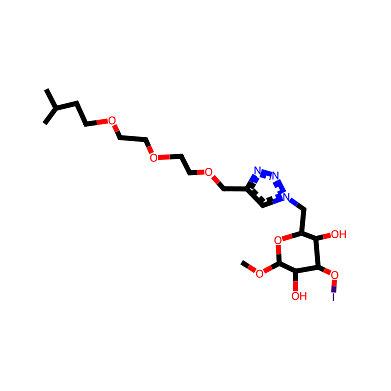 COC1OC(Cn2cc(COCCOCCOCCC(C)C)nn2)C(O)C(OI)C1O